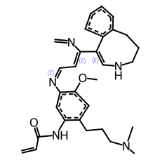 C=CC(=O)Nc1cc(\N=C/C=C(N=C)/C2=C/NCCCc3ccccc32)c(OC)cc1CCCN(C)C